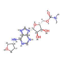 CN(C)C(=O)OC[C@H]1O[C@@H](n2cnc3c(N[C@@H]4CCOC4)ncnc32)[C@H](O)[C@@H]1O